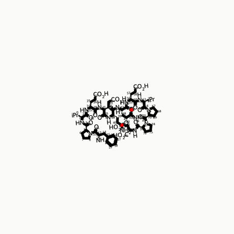 CC(C)[C@H](NC(=O)[C@@H]1CCCN1C(=O)[C@@H](N)Cc1ccccc1)C(=O)N[C@@H](CCC(=O)O)C(=O)N[C@@H](CCC(=O)O)C(=O)N[C@@H](CCC(N)=O)C(=O)N[C@@H](CCC(N)=O)C(=O)N[C@@H](CCC(=O)O)C(=O)N[C@H](C(=O)N1CCC[C@H]1C(=O)N1CCC[C@H]1C(=O)N[C@@H](CC(=O)O)C(=O)O)C(C)C